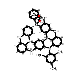 Cc1cc(C)c(N2c3cc4c(cc3B3c5cc6c(cc5Oc5cccc2c53)Oc2cccc3c2B6c2ccccc2O3)B2c3ccccc3Oc3cccc(c32)N4)c(C)c1